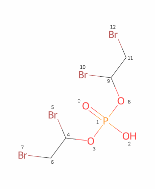 O=P(O)(OC(Br)CBr)OC(Br)CBr